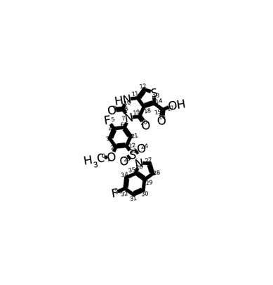 COc1cc(F)c(-n2c(=O)[nH]c3csc(C(=O)O)c3c2=O)cc1S(=O)(=O)n1ccc2ccc(F)cc21